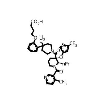 CCC[C@H]1N(C(=O)c2cnccc2C(F)(F)F)CCC[C@@]1(Oc1csc(C(F)(F)F)c1)C(=O)N1CCC(C)(c2ccccc2OCCCC(=O)O)CC1